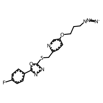 [N-]=[N+]=NCCCOc1ccc(CSc2nnc(-c3ccc(F)cc3)o2)nc1